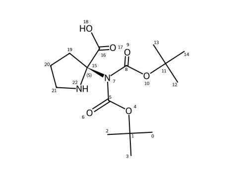 CC(C)(C)OC(=O)N(C(=O)OC(C)(C)C)[C@]1(C(=O)O)CCCN1